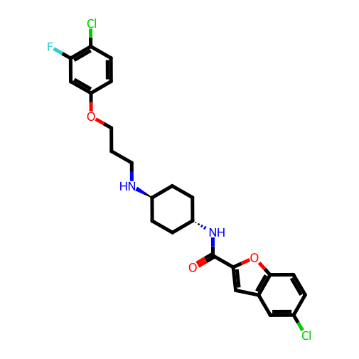 O=C(N[C@H]1CC[C@H](NCCCOc2ccc(Cl)c(F)c2)CC1)c1cc2cc(Cl)ccc2o1